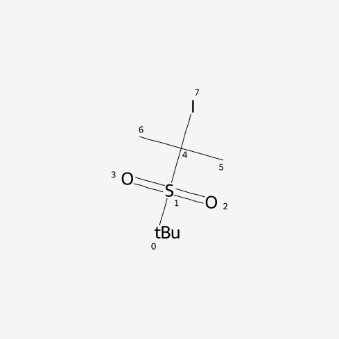 CC(C)(C)S(=O)(=O)C(C)(C)I